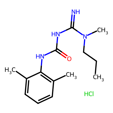 CCCN(C)C(=N)NC(=O)Nc1c(C)cccc1C.Cl